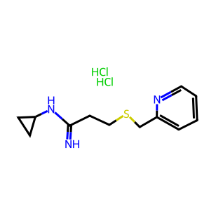 Cl.Cl.N=C(CCSCc1ccccn1)NC1CC1